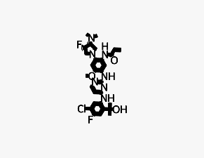 C=CC(=O)Nc1cc(Nc2nccc(Nc3cc(Cl)c(F)cc3C(C)(C)O)n2)c(OC)cc1N1C[C@@H](F)[C@@H](N(C)C)C1